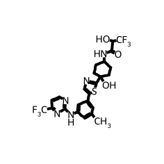 Cc1cc(Nc2nccc(C(F)(F)F)n2)cc(-c2cnc(C3(O)CCC(NC(=O)C(O)C(F)(F)F)CC3)s2)c1